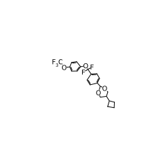 FC(F)(F)Oc1ccc(OC(F)(F)c2ccc(C3OCC(C4CCC4)CO3)cc2)cc1